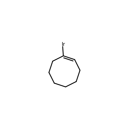 [Ir][C]1=CCCCCCC1